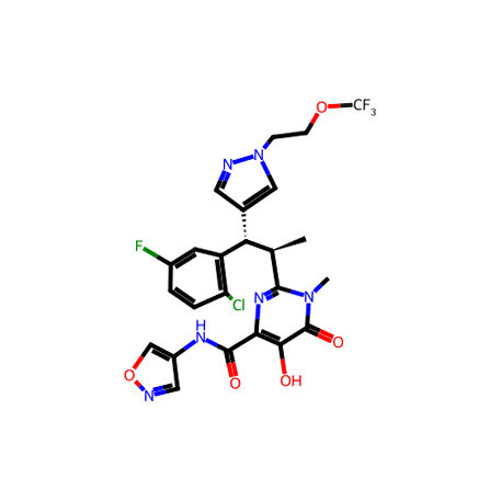 C[C@@H](c1nc(C(=O)Nc2cnoc2)c(O)c(=O)n1C)[C@@H](c1cnn(CCOC(F)(F)F)c1)c1cc(F)ccc1Cl